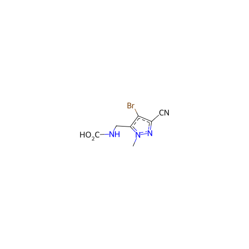 Cn1nc(C#N)c(Br)c1CNC(=O)O